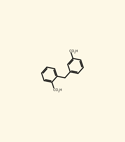 O=C(O)c1cccc(Cc2ccccc2C(=O)O)c1